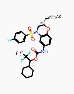 CC(=O)NC[C@H]1CN(S(=O)(=O)c2ccc(F)cc2)c2cc(NC(=O)OC(C3CCCCC3)C(F)(F)C(F)(F)F)ccc2O1